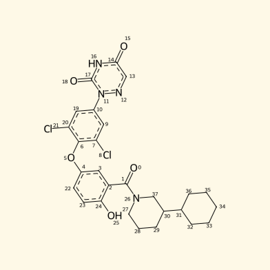 O=C(c1cc(Oc2c(Cl)cc(-n3ncc(=O)[nH]c3=O)cc2Cl)ccc1O)N1CCCC(C2CCCCC2)C1